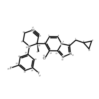 C[C@]1(c2ccn3c(CC4CC4)nnc3c2Cl)C#[N+]CCN1c1cc(F)cc(F)c1